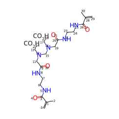 C=C(C)C(=O)NCCNC(=O)CN(CC(=O)O)CN(CC(=O)O)CC(=O)NCCNC(=O)C(=C)C